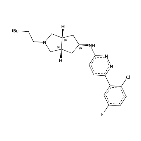 CC(C)(C)CCN1C[C@H]2C[C@H](Nc3ccc(-c4cc(F)ccc4Cl)nn3)C[C@H]2C1